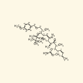 C=C/C=C\[C@H](C)[C@H](OC(N)=O)[C@@H](C)C(=O)[C@@H](C)C/C(C)=C\[C@H](C)[C@@H](O[Si](C)(C)C(C)(C)C)[C@@H](C)COCc1ccc(OC)cc1